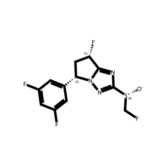 [O-][S@+](CF)c1nc2n(n1)[C@H](c1cc(F)cc(F)c1)C[C@@H]2F